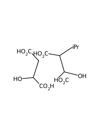 CC(C)C(C(=O)O)C(O)C(=O)O.O=C(O)CC(O)C(=O)O